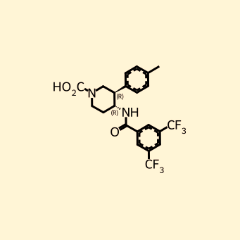 Cc1ccc([C@@H]2CN(C(=O)O)CC[C@H]2NC(=O)c2cc(C(F)(F)F)cc(C(F)(F)F)c2)cc1